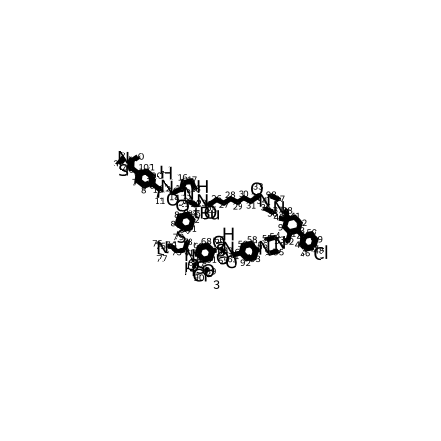 Cc1ncsc1-c1ccc([C@H](C)NC(=O)C2CCCN2C(=O)C(NC(=O)CCCCCCC(=O)N2CCN(CC3(C)CCC(c4ccc(Cl)cc4)=C(CN4CCN(c5ccc(C(=O)NS(=O)(=O)c6ccc(NC(CCN(C)C)CSc7ccccc7)c(S(=O)(=O)C(F)(F)F)c6)cc5)CC4)C3)CC2)C(C)(C)C)cc1